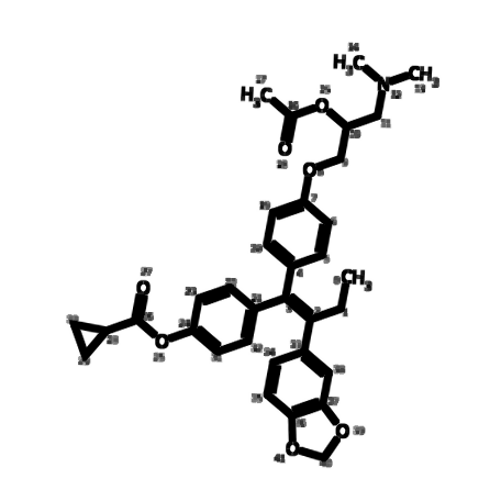 CCC(=C(c1ccc(OCC(CN(C)C)OC(C)=O)cc1)c1ccc(OC(=O)C2CC2)cc1)c1ccc2c(c1)OCO2